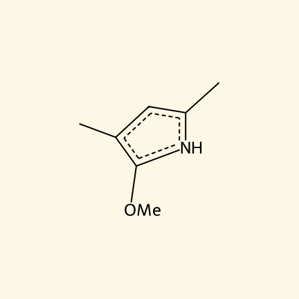 COc1[nH]c(C)cc1C